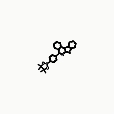 CC1(C)OB(c2ccc(-c3nc4sc5ccccc5c4c4ccccc34)cc2)OC1(C)C